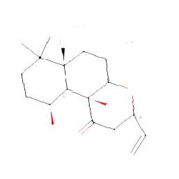 C=C[C@@]1(C)CC(=O)[C@]2(O)[C@@]3(C)[C@@H](O)CCC(C)(C)[C@@H]3[C@H](OC(C)=O)[C@H](OC(C)=O)[C@@]2(C)O1